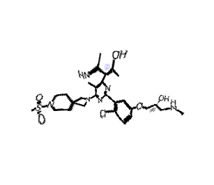 CNC[C@@H](O)COc1ccc(Cl)c(-c2nc(/C(C(C)=N)=C(\C)O)c(C)c(N3CC4(CCN(S(C)(=O)=O)CC4)C3)n2)c1